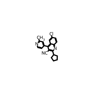 Cc1cc(-c2c(C#N)c(C3CCCC3)nc3ccc(Cl)cc23)ccn1